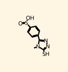 Cn1c(S)nnc1-c1ccc(S(=O)O)cc1